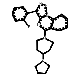 Fc1ccccc1-c1nnn2c1nc(N1CCC(N3CCCC3)CC1)c1ccccc12